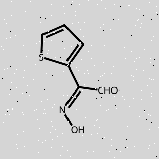 O=[C]/C(=N\O)c1cccs1